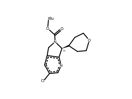 CC(C)(C)OC(=O)N1Cc2cc(Cl)cnc2[C@@H]1C1CCOCC1